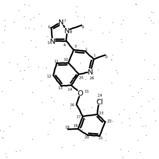 Cc1cc(-c2ncnn2C)c2cccc(OCc3c(C)cccc3Cl)c2n1